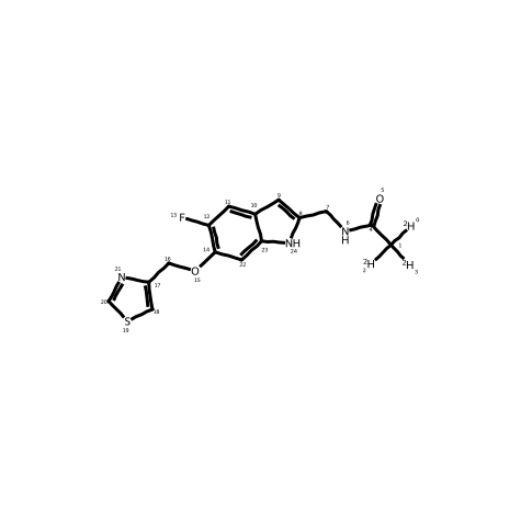 [2H]C([2H])([2H])C(=O)NCc1cc2cc(F)c(OCc3cscn3)cc2[nH]1